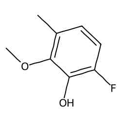 COc1c(C)ccc(F)c1O